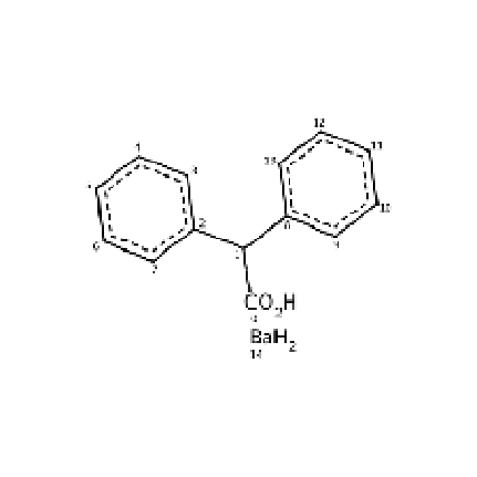 O=C(O)C(c1ccccc1)c1ccccc1.[BaH2]